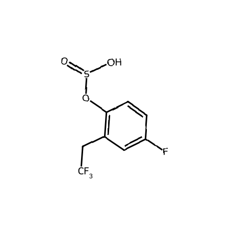 O=S(O)Oc1ccc(F)cc1CC(F)(F)F